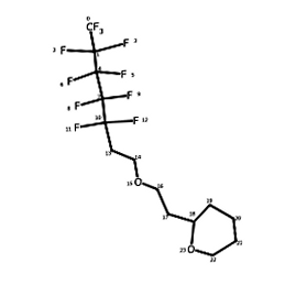 FC(F)(F)C(F)(F)C(F)(F)C(F)(F)C(F)(F)CCOCCC1CCCCO1